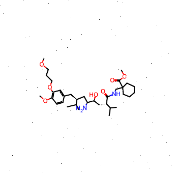 COCCCOc1cc(C[C@@H](C[C@H](N)[C@@H](O)C[C@H](C(=O)NCC2(C(=O)OC)CCCCC2)C(C)C)C(C)C)ccc1OC